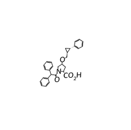 O=C(O)[C@@H]1C[C@H](OC[C@H]2C[C@@H]2c2ccccc2)CN1C(=O)C(c1ccccc1)c1ccccc1